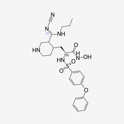 CCCN/C(=N\C#N)C1CNCCC1C[C@H](NS(=O)(=O)c1ccc(Oc2ccccc2)cc1)C(=O)NO